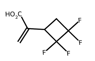 C=C(C(=O)O)C1CC(F)(F)C1(F)F